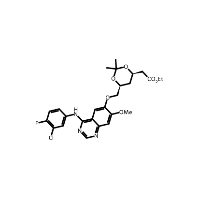 CCOC(=O)C[C@H]1C[C@@H](COc2cc3c(Nc4ccc(F)c(Cl)c4)ncnc3cc2OC)OC(C)(C)O1